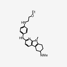 CCOCCNc1ccc(Nc2ccc3c4c(n(C)c3n2)CCC(NC)C4)cc1